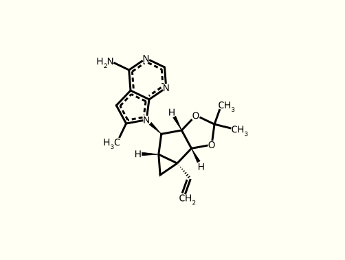 C=C[C@]12C[C@@H]1[C@@H](n1c(C)cc3c(N)ncnc31)[C@@H]1OC(C)(C)O[C@@H]12